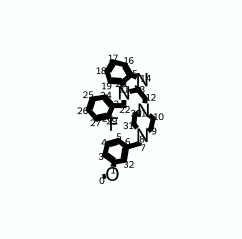 COc1cccc(CN2CCN(Cc3nc4ccccc4n3Cc3ccccc3F)CC2)c1